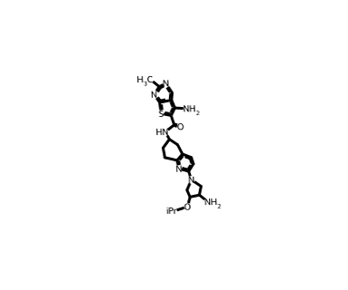 Cc1ncc2c(N)c(C(=O)NC3CCc4nc(N5CC(N)C(OC(C)C)C5)ccc4C3)sc2n1